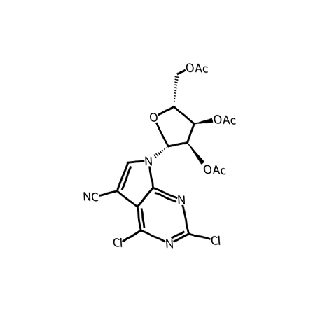 CC(=O)OC[C@H]1O[C@@H](n2cc(C#N)c3c(Cl)nc(Cl)nc32)[C@H](OC(C)=O)[C@@H]1OC(C)=O